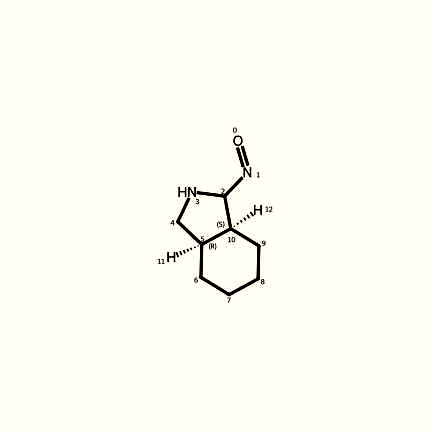 O=NC1NC[C@@H]2CCCC[C@H]12